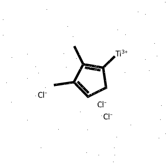 CC1=CC[C]([Ti+3])=C1C.[Cl-].[Cl-].[Cl-]